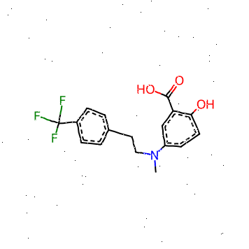 CN(CCc1ccc(C(F)(F)F)cc1)c1ccc(O)c(C(=O)O)c1